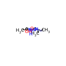 C=CC/C(=C\C=C/CC)CN1CCCN(CC(=O)N/N=C/c2cccc(CC=C)c2O)CC1